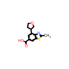 Cc1nc2c(C3CCOC3)cc(C(=O)O)cc2s1